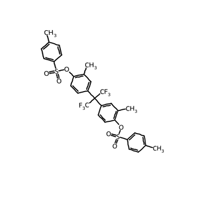 Cc1ccc(S(=O)(=O)Oc2ccc(C(c3ccc(OS(=O)(=O)c4ccc(C)cc4)c(C)c3)(C(F)(F)F)C(F)(F)F)cc2C)cc1